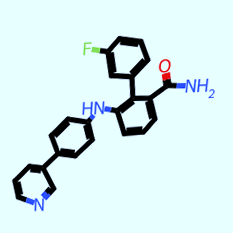 NC(=O)c1cccc(Nc2ccc(-c3cccnc3)cc2)c1-c1cccc(F)c1